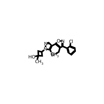 Cc1c(-c2onc(-c3ccccc3Cl)c2CBr)cnn1C1CC(C)(O)C1